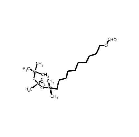 C[Si](C)(C)O[Si](C)(C)O[Si](C)(C)CCCCCCCCCCOC=O